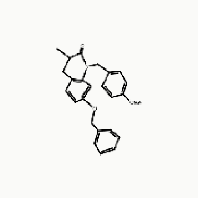 COc1ccc(CN2C(=O)C(C)Cc3ccc(OCc4ccccc4)cc32)cc1